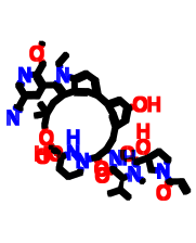 C=CC(=O)N1CC[C@](O)(C(=O)N(C)[C@H](C(=O)N[C@H]2Cc3cc(O)cc(c3)-c3ccc4c(c3)c(c(-c3cc(C#N)cnc3COC)n4CC)CC(C)(C)COC(=O)[C@@]3(O)CCCN(N3)C2=O)C(C)C)C1